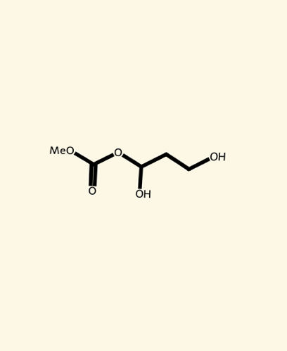 COC(=O)OC(O)CCO